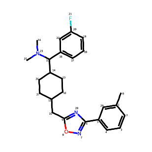 Cc1cccc(-c2noc(CC3CCC(C(c4cccc(F)c4)N(C)C)CC3)n2)c1